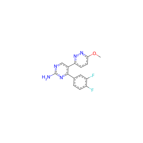 COc1ccc(-c2cnc(N)nc2-c2ccc(F)c(F)c2)nn1